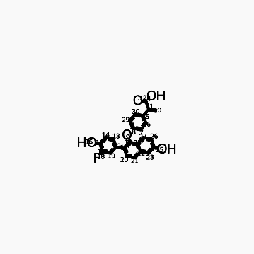 C=C(C(=O)O)c1ccc(Oc2c(-c3ccc(O)c(F)c3)ccc3cc(O)ccc23)cc1